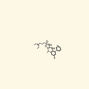 CCN(CC)CCCS(=O)(=O)NC(=O)Nc1c(-c2cccnc2)cc(F)cc1C(C)C